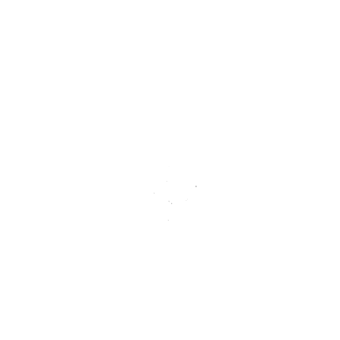 CCCCOC(=O)C1(C)CCC(=O)N1C(=O)O